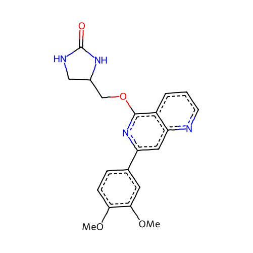 COc1ccc(-c2cc3ncccc3c(OCC3CNC(=O)N3)n2)cc1OC